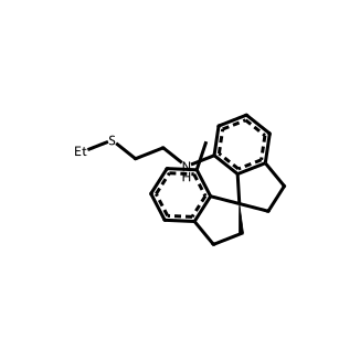 CCSCCNc1cccc2c1[C@]1(CCc3cccc(C)c31)CC2